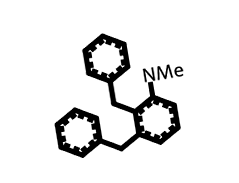 CNc1cccc(Cc2ccccc2)c1Cc1ccccc1